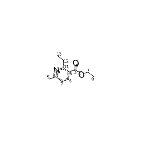 CCOC(=O)c1ccc(C)nc1CC